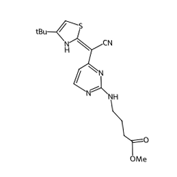 COC(=O)CCCNc1nccc(C(C#N)=C2NC(C(C)(C)C)=CS2)n1